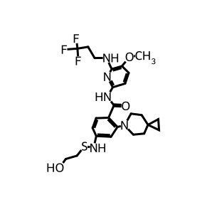 COc1ccc(NC(=O)c2ccc(NSCCO)cc2N2CCC3(CC2)CC3)nc1NCCC(F)(F)F